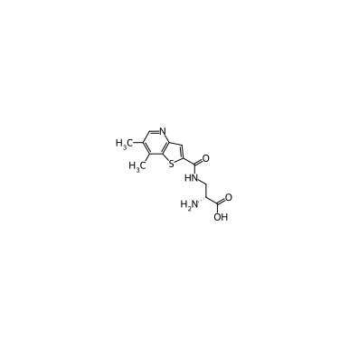 Cc1cnc2cc(C(=O)NC[C@@H](N)C(=O)O)sc2c1C